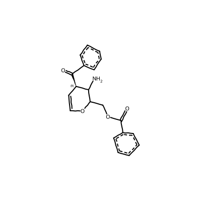 NC1C(COC(=O)c2ccccc2)OC=C[C@H]1C(=O)c1ccccc1